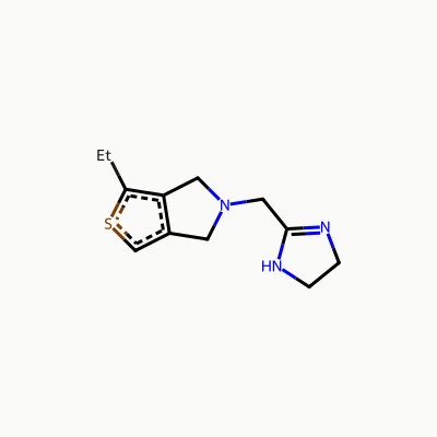 CCc1scc2c1CN(CC1=NCCN1)C2